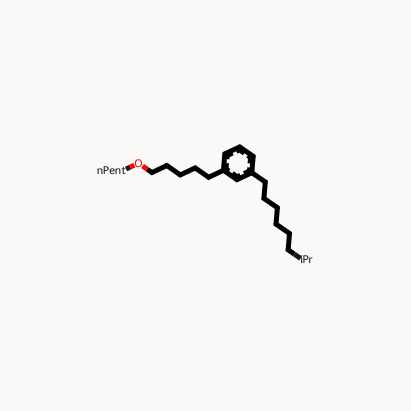 CCCCCOCCCCCc1cccc(CCCCCCC(C)C)c1